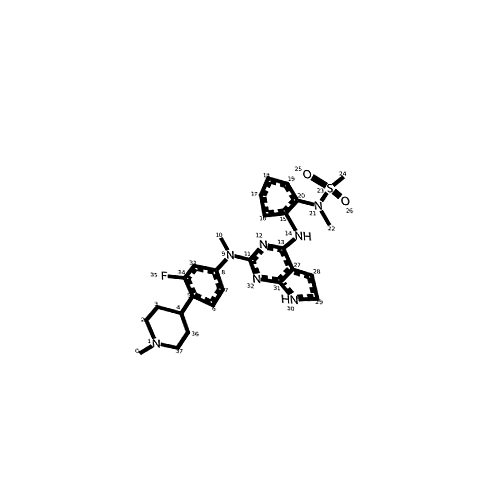 CN1CCC(c2ccc(N(C)c3nc(Nc4ccccc4N(C)S(C)(=O)=O)c4cc[nH]c4n3)cc2F)CC1